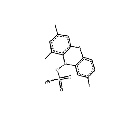 CCCS(=O)(=O)ON1c2cc(C)ccc2Sc2cc(C)cc(C)c21